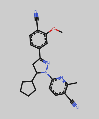 COc1cc(C2=NN(c3ccc(C#N)c(C)n3)C(C3CCCC3)C2)ccc1C#N